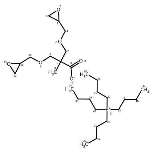 CC(COCC1CO1)(COCC1CO1)C(=O)[O-].CCCC[P+](CCCC)(CCCC)CCCC